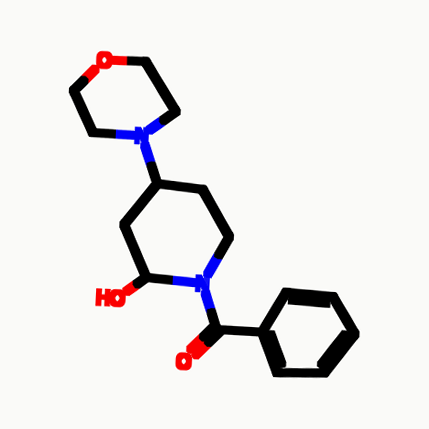 O=C(c1ccccc1)N1CCC(N2CCOCC2)CC1O